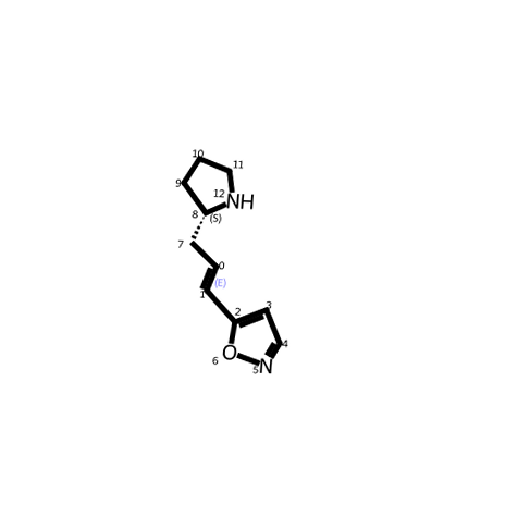 C(=C\c1ccno1)/C[C@@H]1CCCN1